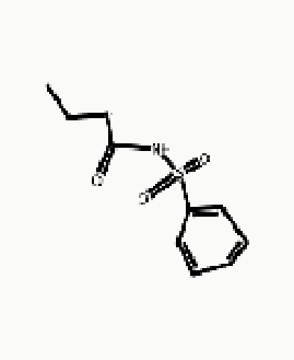 CC[CH]C(=O)NS(=O)(=O)c1ccccc1